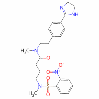 CN(CCc1ccc(C2=NCCN2)cc1)C(=O)CCCN(C)S(=O)(=O)c1ccccc1[N+](=O)[O-]